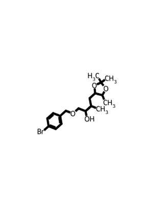 CC(CC1OC(C)(C)OC1C)C(O)COCc1ccc(Br)cc1